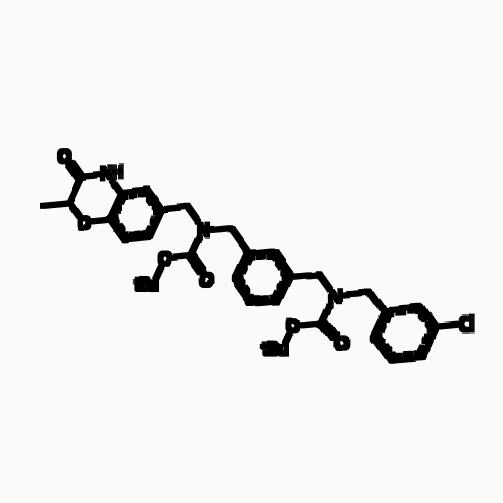 CC1Oc2ccc(CN(Cc3cccc(CN(Cc4cccc(Cl)c4)C(=O)OC(C)(C)C)c3)C(=O)OC(C)(C)C)cc2NC1=O